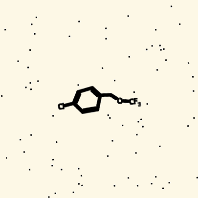 FC(F)(F)OCc1ccc(Cl)cc1